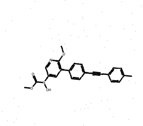 COC(=O)N(O)c1cnc(OC)c(-c2ccc(C#Cc3ccc(C)cc3)cc2)c1